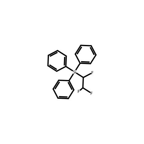 FC(F)C(F)[Si](c1ccccc1)(c1ccccc1)c1ccccc1